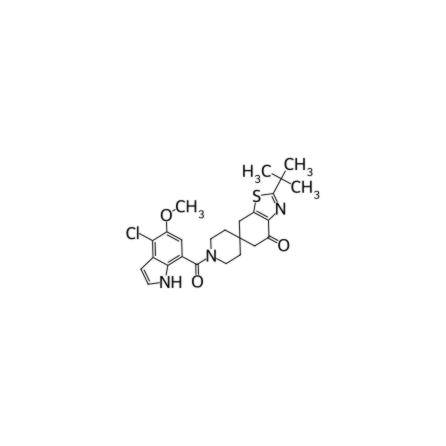 COc1cc(C(=O)N2CCC3(CC2)CC(=O)c2nc(C(C)(C)C)sc2C3)c2[nH]ccc2c1Cl